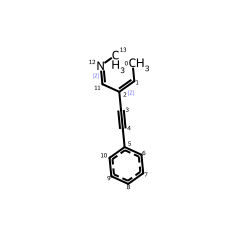 C/C=C(C#Cc1ccccc1)\C=N/C